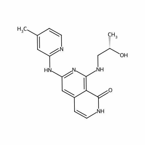 Cc1ccnc(Nc2cc3cc[nH]c(=O)c3c(NC[C@H](C)O)n2)c1